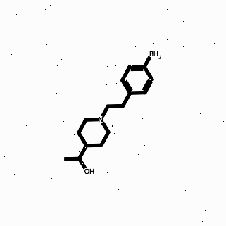 Bc1ccc(CCN2CCC(C(C)O)CC2)cc1